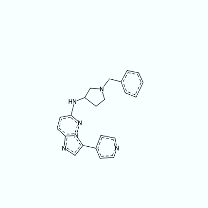 c1ccc(CN2CCC(Nc3ccc4ncc(-c5ccncc5)n4n3)C2)cc1